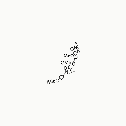 COC1=CC2=C(CC1OCCCOc1cc3c(cc1OC)C(=O)N1CC4(CC4)CC1C=N3)NCC1CC(c3ccc(OC)cc3)=CN1C2=O